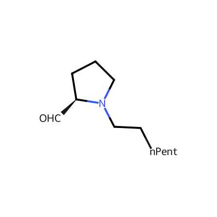 CCCCCCCN1CCC[C@@H]1C=O